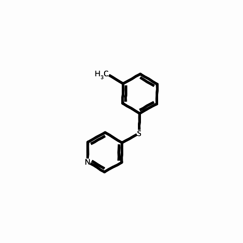 Cc1cccc(Sc2ccncc2)c1